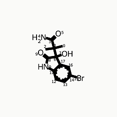 CC(C)(C(N)=O)C1(O)C(=O)Nc2ccc(Br)cc21